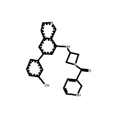 N#Cc1cccc(-c2cc(NC3CN(C(=O)C4=CC=CNC4)C3)c3cnccc3c2)c1